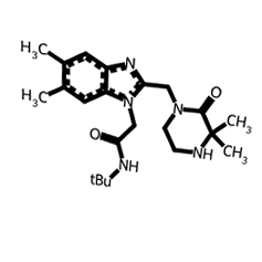 Cc1cc2nc(CN3CCNC(C)(C)C3=O)n(CC(=O)NC(C)(C)C)c2cc1C